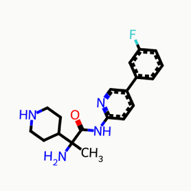 CC(N)(C(=O)Nc1ccc(-c2cccc(F)c2)cn1)C1CCNCC1